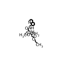 CCCCOC(=O)C[C@H](N)C(=O)N[C@@H](COC)C(=O)NCc1cccc2cccnc12